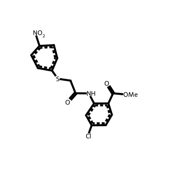 COC(=O)c1ccc(Cl)cc1NC(=O)CSc1ccc([N+](=O)[O-])cc1